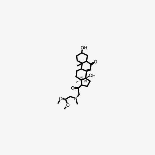 COC(CN(C)CC(=O)C1CC[C@@]2(O)C3=CC(=O)C4CC(O)CCC4(C)C3CC[C@]12C)OC